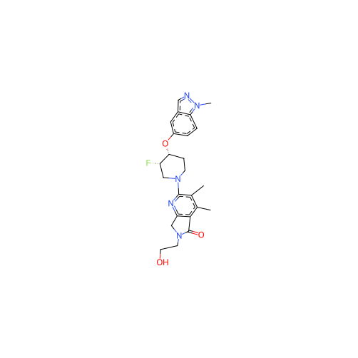 Cc1c(N2CC[C@@H](Oc3ccc4c(cnn4C)c3)[C@@H](F)C2)nc2c(c1C)C(=O)N(CCO)C2